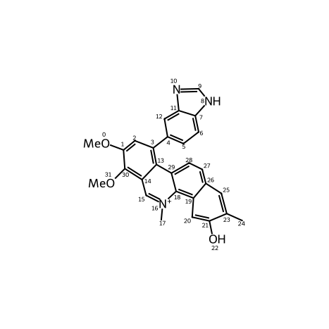 COc1cc(-c2ccc3[nH]cnc3c2)c2c(c[n+](C)c3c4cc(O)c(C)cc4ccc23)c1OC